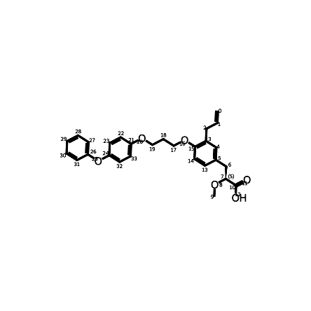 C=CCc1cc(C[C@H](OC)C(=O)O)ccc1OCCCOc1ccc(Oc2ccccc2)cc1